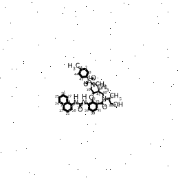 Cc1ccc(S(=O)(=O)N(C)CC2Oc3c(NC(=O)Nc4cccc5ccccc45)cccc3C(=O)N(C(C)CO)CC2C)cc1